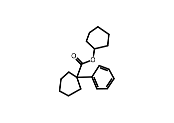 O=C(OC1CCCCC1)C1(c2ccccc2)CCCCC1